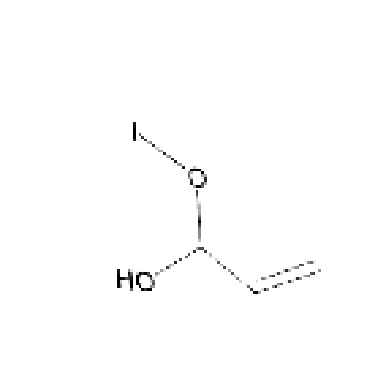 C=CC(O)OI